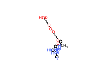 C[C@H](NC(=O)c1cccc(NC2(c3nnc(-c4ccncc4)[nH]3)CCNCC2)c1)c1cccc(OCCCCCCOCCOCCOCCCCCC(=O)O)c1